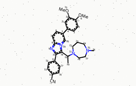 COc1ccc(-c2ccc3nc(-c4ccc(C#N)cc4)c(C(C)N4CCCN(C)CC4)n3c2)cc1OC